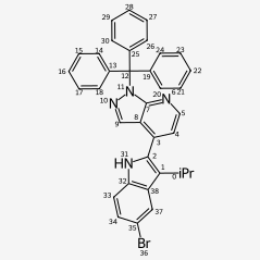 CC(C)c1c(-c2ccnc3c2cnn3C(c2ccccc2)(c2ccccc2)c2ccccc2)[nH]c2ccc(Br)cc12